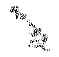 CCCC(=O)NCCCC[C@H](NC(=O)[C@H](CCCCNC(=S)Nc1ccc(CC2CN(CC(=O)O)CCN(CC(=O)O)CCN2CC(=O)O)cc1)NC(=O)CCOCCOCCOCCNC(=O)COc1ccc2c(C(=O)NCC(=O)N3CCC[C@H]3C#N)ccnc2c1)C(=O)O